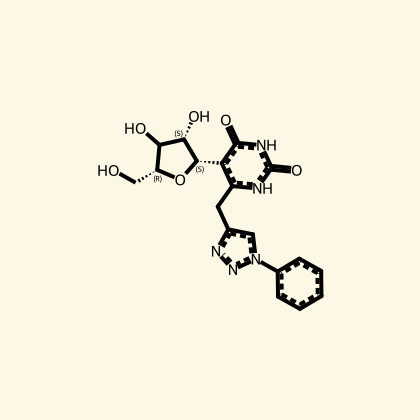 O=c1[nH]c(Cc2cn(-c3ccccc3)nn2)c([C@@H]2O[C@H](CO)C(O)[C@@H]2O)c(=O)[nH]1